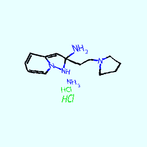 Cl.Cl.N.NC1(CCN2CCCC2)C=C2C=CC=CN2N1